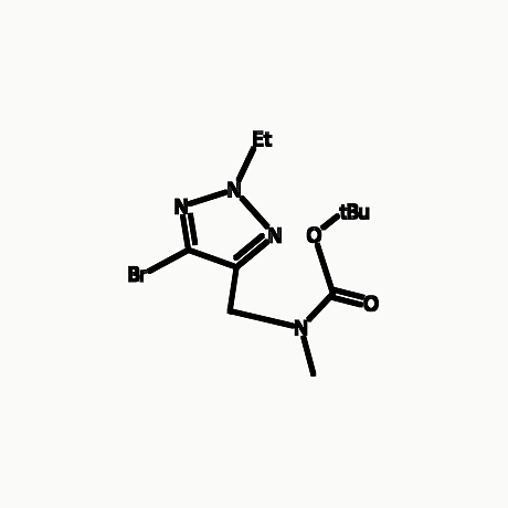 CCn1nc(Br)c(CN(C)C(=O)OC(C)(C)C)n1